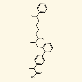 CC(C(=O)O)c1ccc(-c2ccccc2CN(C)C(=O)CCCCC(=O)c2ccccc2)cc1